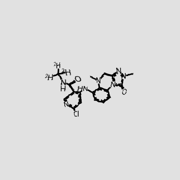 [2H]C([2H])([2H])NC(=O)c1cnc(Cl)cc1Nc1cccc2c1N(C)Cc1nn(C)c(=O)n1-2